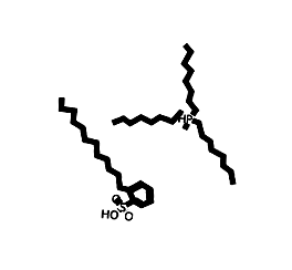 CCCCCCCCCCCCc1ccccc1S(=O)(=O)O.CCCCCCCC[PH](C)(CCCCCCCC)CCCCCCCC